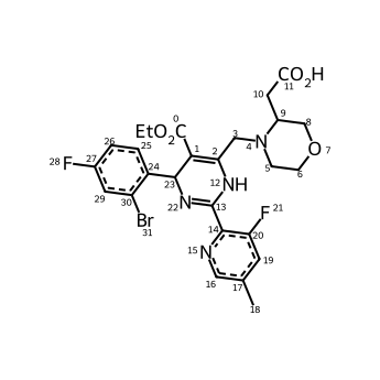 CCOC(=O)C1=C(CN2CCOCC2CC(=O)O)NC(c2ncc(C)cc2F)=NC1c1ccc(F)cc1Br